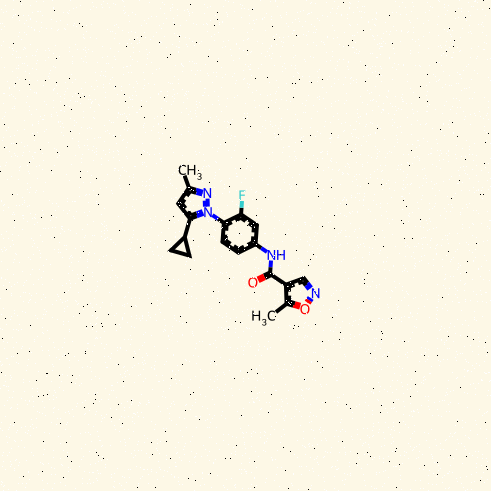 Cc1cc(C2CC2)n(-c2ccc(NC(=O)c3cnoc3C)cc2F)n1